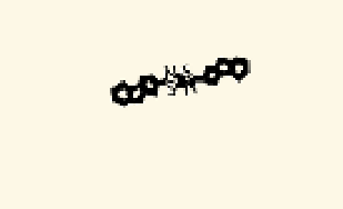 c1ccc2c(c1)Cc1cc(-c3nc4sc(-c5ccc6c(c5)Cc5ccccc5-6)nc4s3)ccc1-2